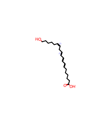 O=C(O)CCCCCC=CC=C/C=C/C/C=C\CCCCCO